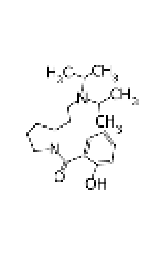 CC(C)N(CCC1CCCN1C(=O)c1ccccc1O)C(C)C